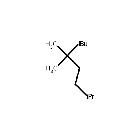 [CH2]C(C)CCC(C)(C)C(C)CC